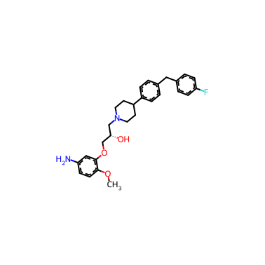 COc1ccc(N)cc1OC[C@@H](O)CN1CCC(c2ccc(Cc3ccc(F)cc3)cc2)CC1